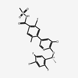 Cc1cc(C(=O)NS(C)(=O)=O)c(F)cc1-c1cnc(O[C@H](C)c2cc(F)c(F)cc2F)c(Cl)c1